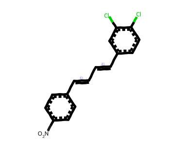 O=[N+]([O-])c1ccc(/C=C/C=C/c2ccc(Cl)c(Cl)c2)cc1